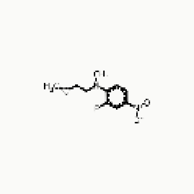 COCCN(C)c1ccc([N+](=O)[O-])cc1F